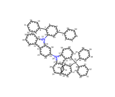 c1ccc(-c2ccc(-c3ccccc3)c(-n3c4ccccc4c4ccc(-n5c6ccccc6c6c([Si](c7ccccc7)(c7ccccc7)c7ccccc7)cccc65)cc43)c2)cc1